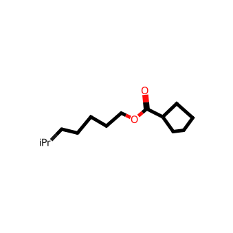 CC(C)CCCCCOC(=O)C1CCCC1